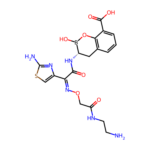 NCCNC(=O)CO/N=C(\C(=O)N[C@H]1Cc2cccc(C(=O)O)c2OB1O)c1csc(N)n1